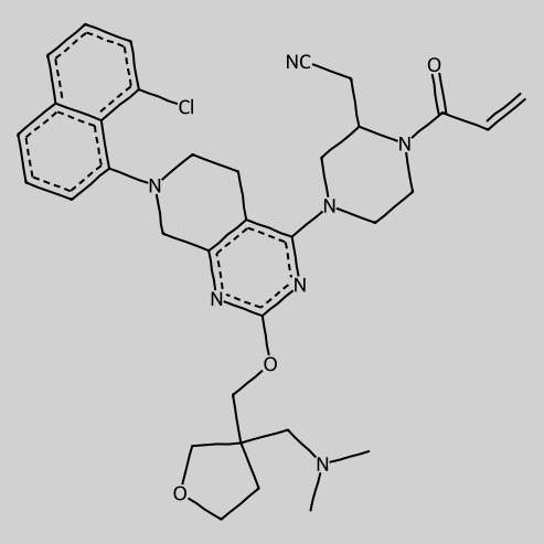 C=CC(=O)N1CCN(c2nc(OCC3(CN(C)C)CCOC3)nc3c2CCN(c2cccc4cccc(Cl)c24)C3)CC1CC#N